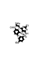 CCc1nc(NS(=O)(=O)c2ccc(C(C)(C)C)cc2)c(Oc2cc(OC)ccc2Cl)c(OCCSC)n1